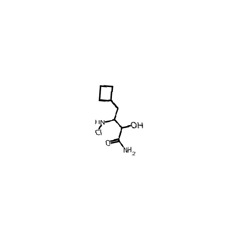 NC(=O)C(O)C(CC1CCC1)NCl